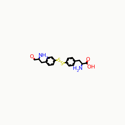 NC(C=O)Cc1ccc(SSc2ccc(CC(N)C(=O)O)cc2)cc1